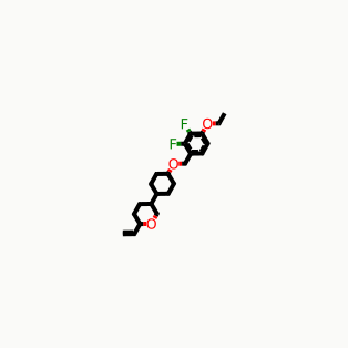 C=CC1CCC(C2CCC(OCc3ccc(OCC)c(F)c3F)CC2)CO1